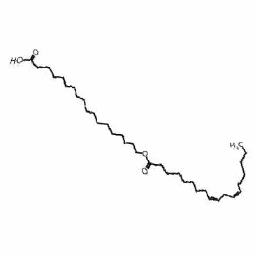 CCCCC/C=C\C/C=C\CCCCCCCC(=O)OCCCCCCCCCCCCCCCCCC(=O)O